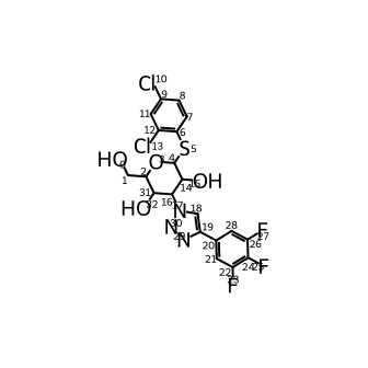 OCC1OC(Sc2ccc(Cl)cc2Cl)C(O)C(n2cc(-c3cc(F)c(F)c(F)c3)nn2)C1O